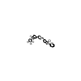 O=C1CCC(N2Cc3cc(C4CCN(Cc5ccc6c(c5)C(=O)N(c5ccccn5)C6)CC4)ccc3C2=O)C(=O)N1